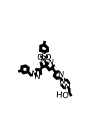 Cc1ccc(S(=O)(=O)n2cc(-c3cnn(Cc4cccc(C)c4)c3)c3cc(-c4ccc(N5CCN(CC(C)O)CC5)nc4)cnc32)cc1